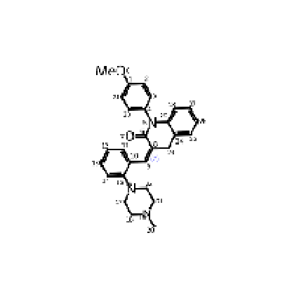 COc1ccc(N2C(=O)/C(=C\c3ccccc3N3CCN(C)CC3)Cc3ccccc32)cc1